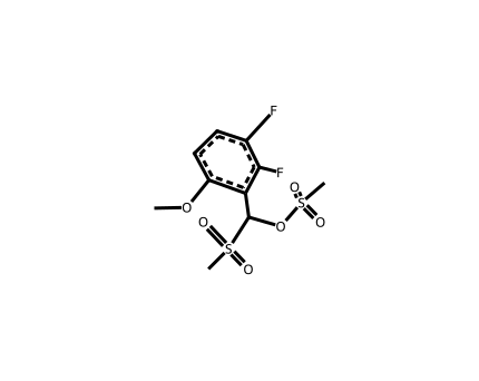 COc1ccc(F)c(F)c1C(OS(C)(=O)=O)S(C)(=O)=O